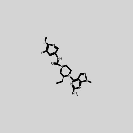 CC[C@H]1CN(C(=O)Nc2cnc(OC)c(F)c2)CCN1c1nc(N)nc2c1cnn2C